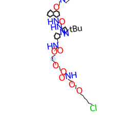 CC(C)(C)c1cc(NC(=O)Nc2ccc(OCCN3CCOCC3)c3ccccc23)n(-c2cccc(CNC(=O)OC/C=C\COCCOC(=O)NCCOCCOCCCCCCCl)c2)n1